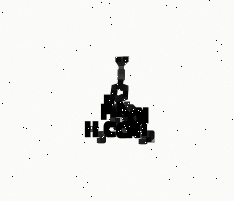 CC(C)C[C@@H](C(N)=O)N(CC#N)[C@@H](c1ccc(C#CC2CC2)cc1)C(F)(F)F